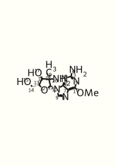 COc1nc(N)nc2c1ncn2[C@@H]1O[C@H](CO)C(O)[C@@]1(C)N